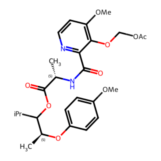 COc1ccc(O[C@@H](C)C(OC(=O)[C@H](C)NC(=O)c2nccc(OC)c2OCOC(C)=O)C(C)C)cc1